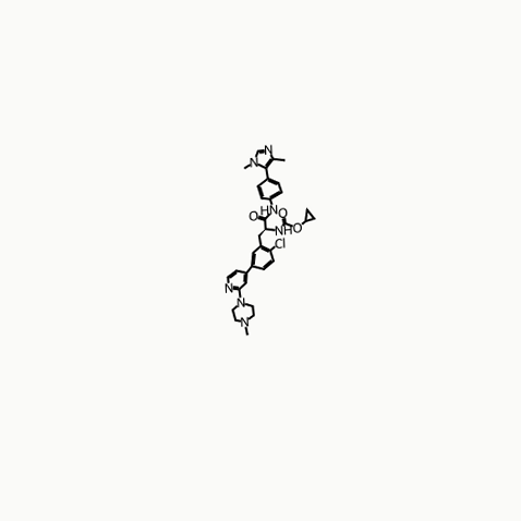 Cc1ncn(C)c1-c1ccc(NC(=O)[C@H](Cc2cc(-c3ccnc(N4CCN(C)CC4)c3)ccc2Cl)NC(=O)OC2CC2)cc1